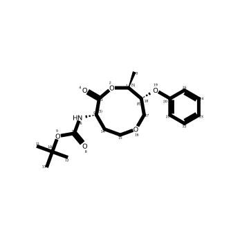 C[C@@H]1OC(=O)[C@@H](NC(=O)OC(C)(C)C)CCOC[C@H]1Oc1ccccc1